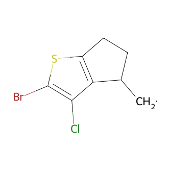 [CH2]C1CCc2sc(Br)c(Cl)c21